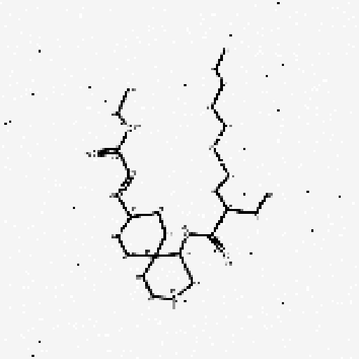 CCCCCCCCC(CC)C(=O)OC1CNCCC12CCC(/C=C/C(=O)OCC)CC2